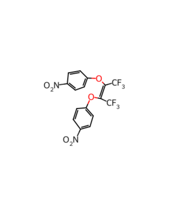 O=[N+]([O-])c1ccc(OC(=C(Oc2ccc([N+](=O)[O-])cc2)C(F)(F)F)C(F)(F)F)cc1